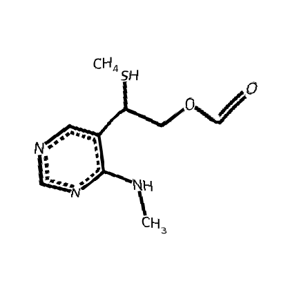 C.CNc1ncncc1C(S)COC=O